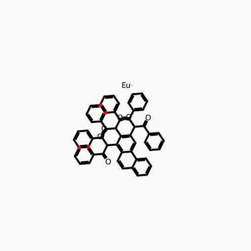 O=C(c1ccccc1)C(C(=O)c1ccccc1)c1cc2c(ccc3ccccc32)c(C(C(=O)c2ccccc2)C(=O)c2ccccc2)c1C(C(=O)c1ccccc1)C(=O)c1ccccc1.[Eu]